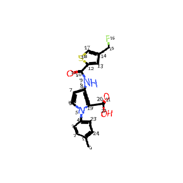 Cc1ccc(-n2ccc(NC(=O)c3cc(CF)cs3)c2C(=O)O)cc1